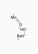 [BaH+].[OH-].[O]=[Mn]